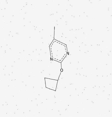 Ic1cnc(OC2CCC2)nc1